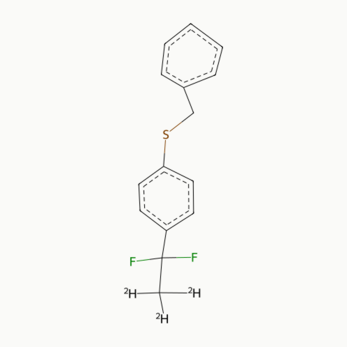 [2H]C([2H])([2H])C(F)(F)c1ccc(SCc2ccccc2)cc1